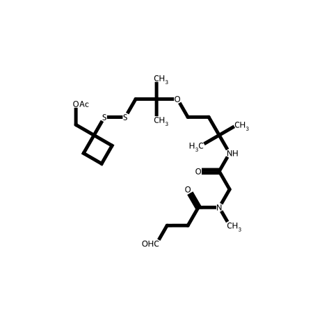 CC(=O)OCC1(SSCC(C)(C)OCCC(C)(C)NC(=O)CN(C)C(=O)CCC=O)CCC1